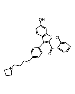 O=C(c1ccccc1Cl)c1sc2cc(O)ccc2c1-c1ccc(OCCCN2CCC2)cc1